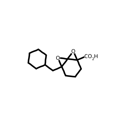 O=C(O)C12CCCC3(CC4CCCCC4)OC31O2